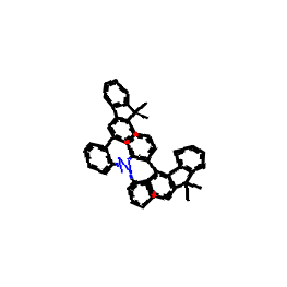 CC1(C)c2ccccc2-c2cc(-c3ccccc3N(c3ccccc3)c3ccccc3-c3cccc4c3-c3ccccc3C4(C)C)ccc21